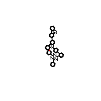 c1ccc(-c2nc(-c3ccccc3)nc(-c3ccccc3-c3ccc(-n4c5ccccc5c5cc(-c6ccc7c(c6)oc6ccccc67)ccc54)cc3)n2)cc1